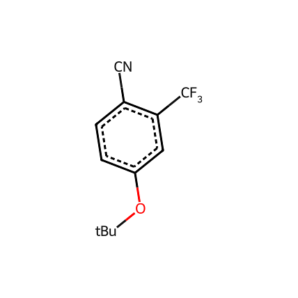 CC(C)(C)Oc1ccc(C#N)c(C(F)(F)F)c1